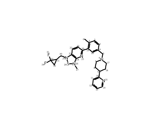 Cc1ccc(CN2CCC(c3ccccn3)CC2)cc1-c1ccc2c(n1)N(C)SN2CC1CC1(F)F